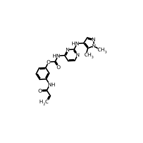 C=CC(=O)Nc1cccc(OC(=O)Nc2ccnc(Nc3cnn(C)c3C)n2)c1